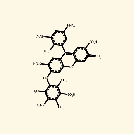 C=c1cc2c(cc1S(=O)(=O)O)=C(c1cc(NC(C)=O)cc(NC(C)=O)c1S(=O)(=O)O)c1cc(S(=O)(=O)O)c(Nc3c(C)c(NC(C)=O)c(C)c(S(=O)(=O)O)c3C)cc1O2